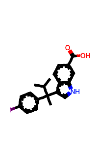 CC(C)C(C)(c1ccc(I)cc1)c1c[nH]c2cc(C(=O)O)ccc12